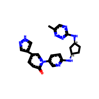 Cc1cnc(N[C@H]2CC[C@H](Nc3ccc(-n4cc(-c5cn[nH]c5)ccc4=O)cn3)C2)nn1